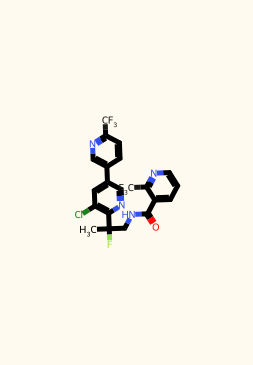 CC(F)(CNC(=O)c1cccnc1C(F)(F)F)c1ncc(-c2ccc(C(F)(F)F)nc2)cc1Cl